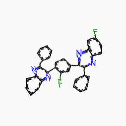 Fc1ccc2nc(-c3ccccc3)c(-c3ccc(-c4nc5ccccc5nc4-c4ccccc4)c(F)c3)nc2c1